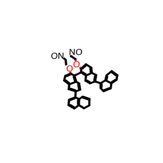 O=NCCOc1ccc2cc(-c3cccc4c3C=CCC4)ccc2c1-c1c(OCCN=O)ccc2cc(-c3cccc4ccccc34)ccc12